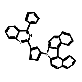 c1ccc(-c2nc(-c3cccc(-n4c5ccc6ccccc6c5c5c6ccccc6ccc54)c3)nc3ccccc23)cc1